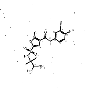 Cc1sc(S(=O)(=O)NC(C)(C)C(N)O)cc1C(=O)Nc1ccc(F)c(F)c1